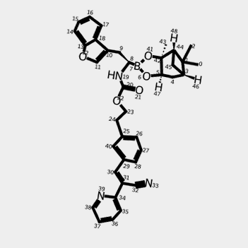 CC1(C)[C@@H]2C[C@H]3OB([C@H](Cc4coc5ccccc45)NC(=O)OCCc4cccc(C=C(C#N)c5ccccn5)c4)O[C@@]3(C)[C@H]1C2